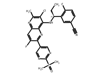 CC[C@H](Nc1c(Cl)c(C)nc2cc(F)c(-c3cnc(P(C)(C)=O)nc3)nc12)c1cc(C#N)ccc1F